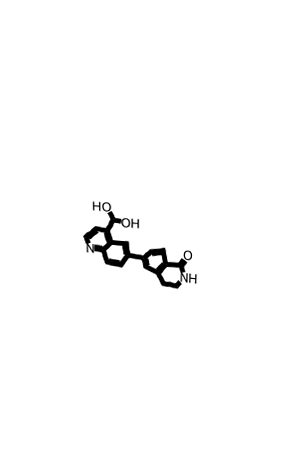 O=C1NCCc2cc(-c3ccc4nccc(C(O)O)c4c3)ccc21